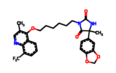 Cc1cnc2c(C(F)(F)F)cccc2c1OCCCCCCN1C(=O)NC(C)(c2ccc3c(c2)OCO3)C1=O